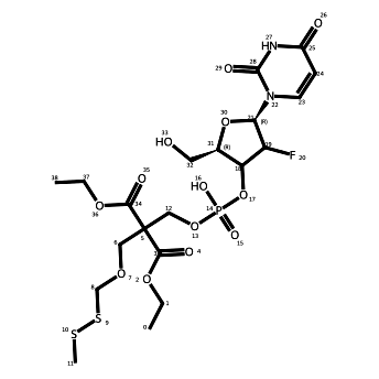 CCOC(=O)C(COCSSC)(COP(=O)(O)OC1C(F)[C@H](n2ccc(=O)[nH]c2=O)O[C@@H]1CO)C(=O)OCC